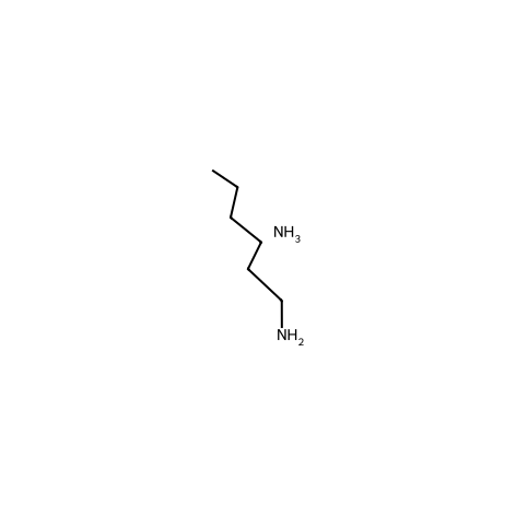 CCCCCCN.N